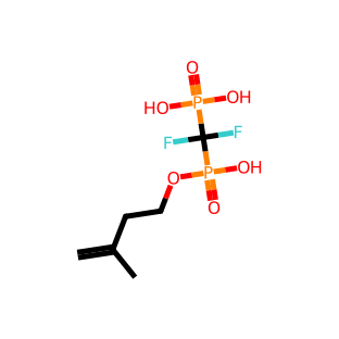 C=C(C)CCOP(=O)(O)C(F)(F)P(=O)(O)O